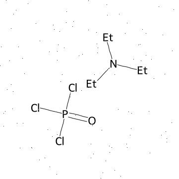 CCN(CC)CC.O=P(Cl)(Cl)Cl